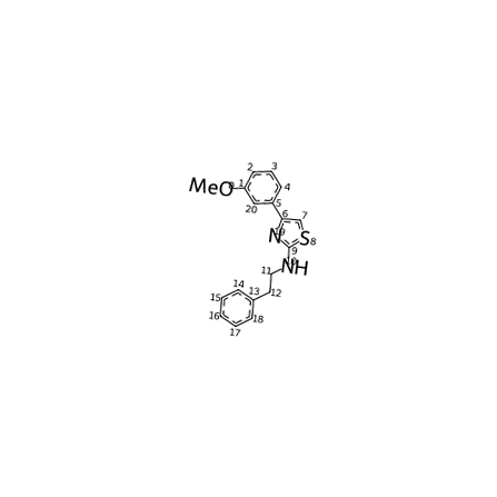 COc1cccc(-c2csc(NCCc3ccccc3)n2)c1